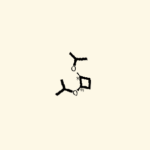 CC(C)O[C@@H]1CC[C@H]1OC(C)C